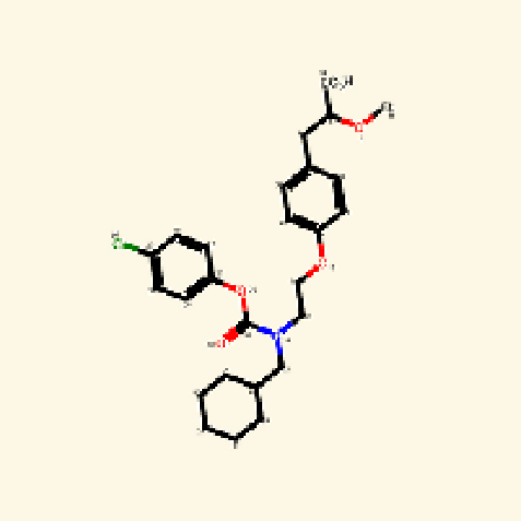 CCOC(Cc1ccc(OCCN(CC2CCCCC2)C(=O)Oc2ccc(Cl)cc2)cc1)C(=O)O